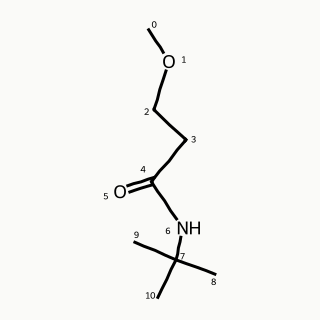 COCCC(=O)NC(C)(C)C